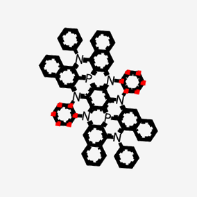 c1ccc(-n2c3cc4ccccc4c4c3p3c5c(cc6ccccc6c5n4-c4ccccc4)n(-c4ccccc4)c4c5c6c(c2c43)n(-c2ccccc2)c2cc3ccccc3c3c2p6c2c(cc4ccccc4c2n3-c2ccccc2)n5-c2ccccc2)cc1